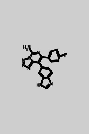 Nc1nc(-c2ccc(F)cc2)c(-c2ccc3nc[nH]c3c2)c2nnnn12